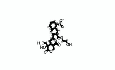 CC[C@@]1(O)C(=O)OCc2c1cc1n(c2=O)C(OCCO)c2cc3c([N+](=O)[O-])cccc3nc2-1